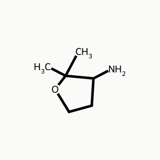 CC1(C)OCCC1N